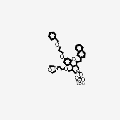 CC(C)(C)OC(=O)ON1CC(COCCN2CCOCC2)C(c2ccc(OCCCOCc3ccccc3)cc2)C(C(=O)Cc2ccc3ccccc3c2)C1